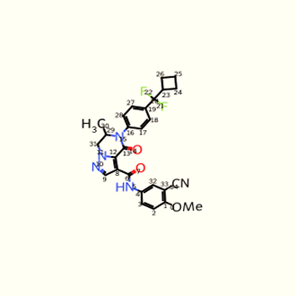 COc1ccc(NC(=O)c2cnn3c2C(=O)N(c2ccc(C(F)(F)C4CCC4)cc2)C(C)C3)cc1C#N